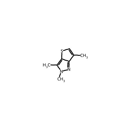 Cc1csc2c(C)n(C)nc12